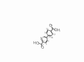 C=C(/C=C\C(=C/C)C(=O)O)c1ccc(C(=O)O)cc1